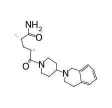 C[C@@H](C[CH]C(=O)N1CCC(N2CCc3ccccc3C2)CC1)C(N)=O